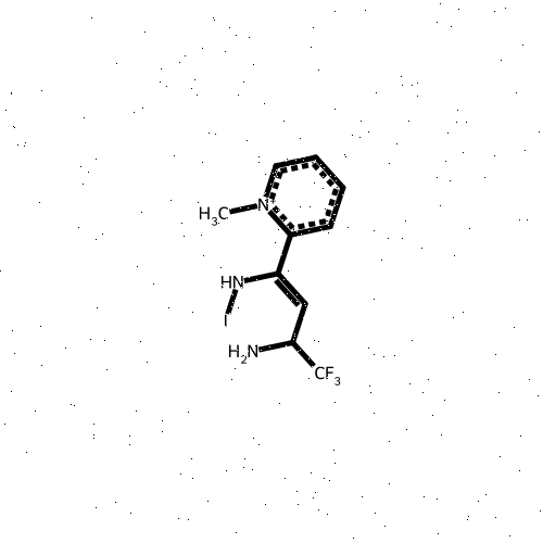 C[n+]1ccccc1/C(=C/C(N)C(F)(F)F)NI